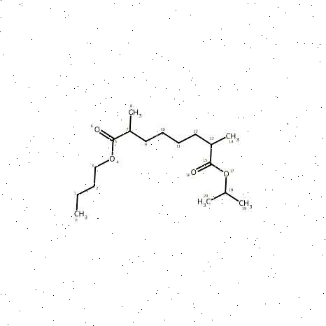 CCCCOC(=O)C(C)C[CH]CCC(C)C(=O)OC(C)C